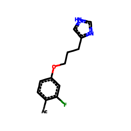 CC(=O)c1ccc(OCCCc2c[nH]cn2)cc1F